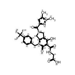 Cc1cc(C(=O)N2Cc3c(O)c(C(=O)NCC(=O)O)c(=O)n(Cc4ccc(C(F)(F)F)cc4)c3C2)nn1C